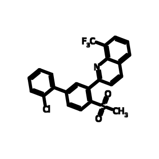 CS(=O)(=O)c1ccc(-c2ccccc2Cl)cc1-c1ccc2cccc(C(F)(F)F)c2n1